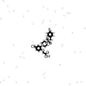 O=C(O)COc1ccc(Cl)cc1N1CCN(S(=O)(=O)Cc2ccc(F)cc2)CC1